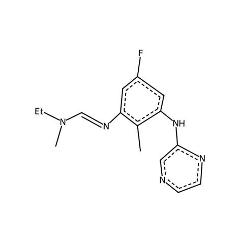 CCN(C)C=Nc1cc(F)cc(Nc2cnccn2)c1C